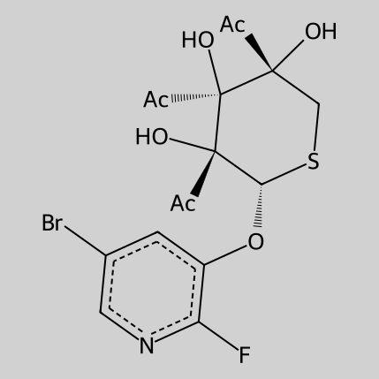 CC(=O)[C@]1(O)[C@@](O)(C(C)=O)CS[C@H](Oc2cc(Br)cnc2F)[C@@]1(O)C(C)=O